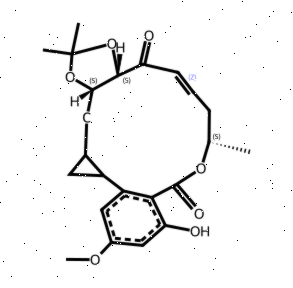 COc1cc(O)c2c(c1)C1CC1C[C@@H]1OC(C)(C)O[C@@H]1C(=O)/C=C\C[C@H](C)OC2=O